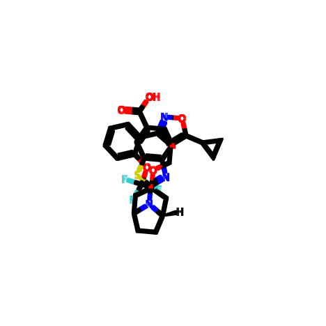 O=C(O)c1ccc2nc(N3C4CC[C@H]3CC(OCc3c(-c5ccccc5OC(F)(F)F)noc3C3CC3)C4)sc2c1